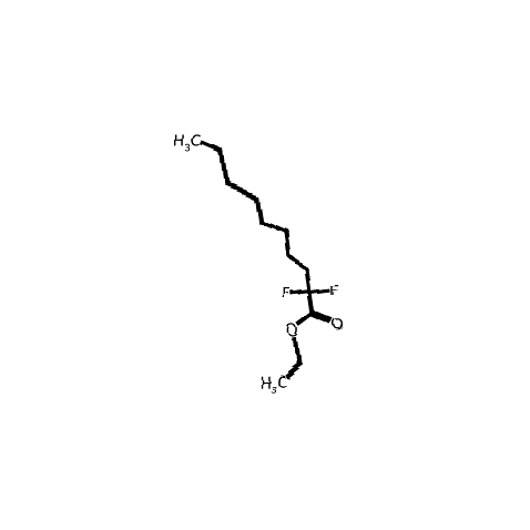 CCCCCCCCC(F)(F)C(=O)OCC